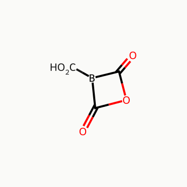 O=C(O)B1C(=O)OC1=O